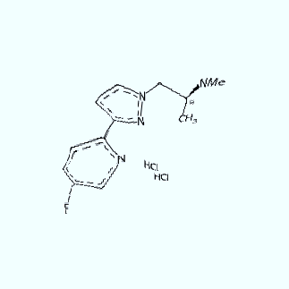 CN[C@@H](C)Cn1ccc(-c2ccc(F)cn2)n1.Cl.Cl